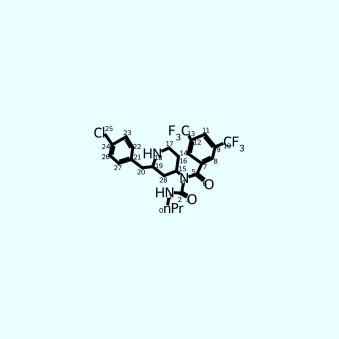 CCCNC(=O)N(C(=O)c1cc(C(F)(F)F)cc(C(F)(F)F)c1)C1CCNC(Cc2ccc(Cl)cc2)C1